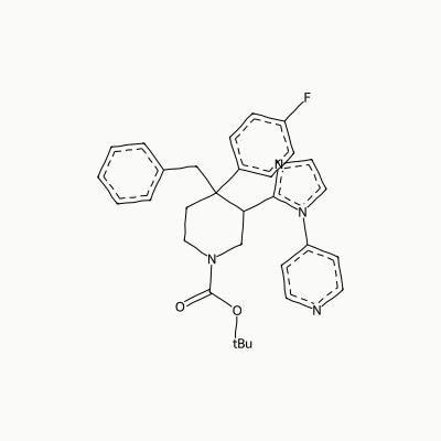 CC(C)(C)OC(=O)N1CCC(Cc2ccccc2)(c2ccc(F)cc2)C(c2nccn2-c2ccncc2)C1